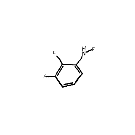 FNc1cccc(F)c1F